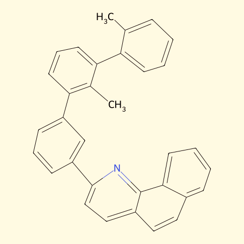 Cc1ccccc1-c1cccc(-c2cccc(-c3ccc4ccc5ccccc5c4n3)c2)c1C